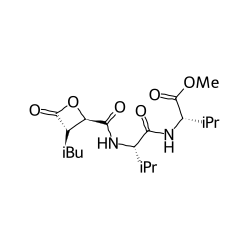 CC[C@H](C)[C@@H]1C(=O)O[C@H]1C(=O)N[C@H](C(=O)N[C@H](C(=O)OC)C(C)C)C(C)C